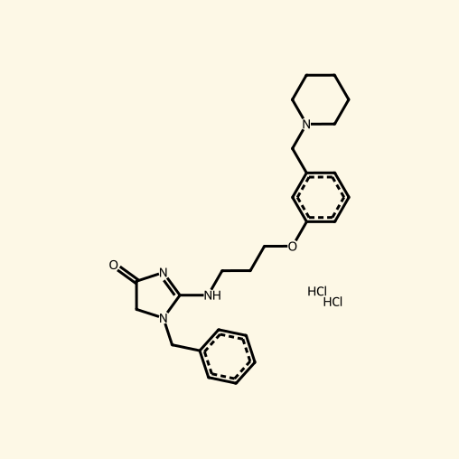 Cl.Cl.O=C1CN(Cc2ccccc2)C(NCCCOc2cccc(CN3CCCCC3)c2)=N1